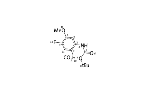 COc1cc(NC(=O)OC(C)(C)C)c(C(=O)O)cc1F